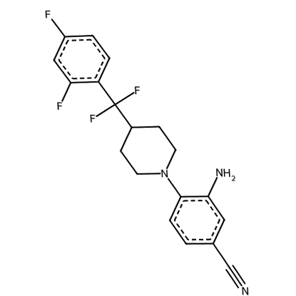 N#Cc1ccc(N2CCC(C(F)(F)c3ccc(F)cc3F)CC2)c(N)c1